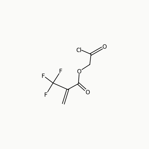 C=C(C(=O)OCC(=O)Cl)C(F)(F)F